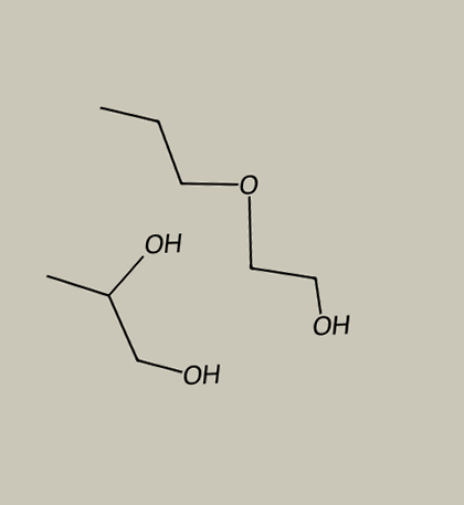 CC(O)CO.CCCOCCO